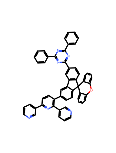 c1ccc(-c2nc(-c3ccccc3)nc(-c3ccc4c(c3)-c3cc(-c5ccc(-c6cccnc6)nc5-c5cccnc5)ccc3C43c4ccccc4Oc4ccccc43)n2)cc1